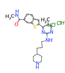 CNC(=O)c1ccc2cc(-c3nc(NCCCC4CCNCC4)ncc3C)sc2c1.Cl.Cl